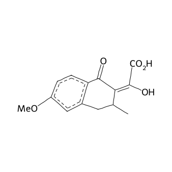 COc1ccc2c(c1)CC(C)C(=C(O)C(=O)O)C2=O